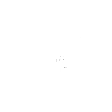 CCCCCCCCCCCCN1CCN(CCCCCCCCCCCC)C1c1ccccc1.Cl